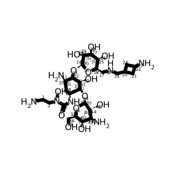 NCCN(O)C(=O)N[C@@H]1C[C@H](N)C(O[C@H]2O[C@H](CNCC3CC(N)C3)[C@@H](O)[C@H](O)[C@H]2O)[C@H](O)[C@H]1O[C@H]1O[C@H](CO)[C@@H](O)[C@H](N)[C@H]1O